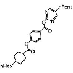 CCCCCCC1CCC(C(=O)Oc2ccc(C(=O)Oc3ncc(CCCCC)cn3)cc2)CC1